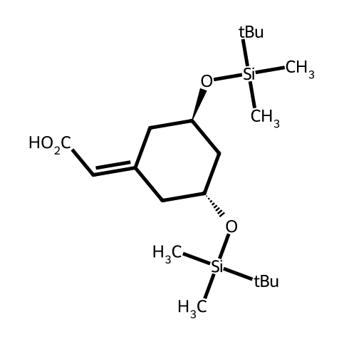 CC(C)(C)[Si](C)(C)O[C@@H]1CC(=CC(=O)O)C[C@@H](O[Si](C)(C)C(C)(C)C)C1